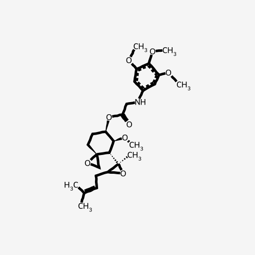 COc1cc(NCC(=O)O[C@@H]2CC[C@]3(CO3)[C@@H]([C@@]3(C)OC3CC=C(C)C)[C@@H]2OC)cc(OC)c1OC